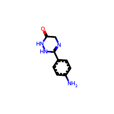 Nc1ccc(C2=NCC(=O)NN2)cc1